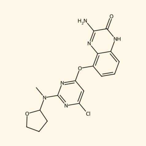 CN(c1nc(Cl)cc(Oc2cccc3[nH]c(=O)c(N)nc23)n1)C1CCCO1